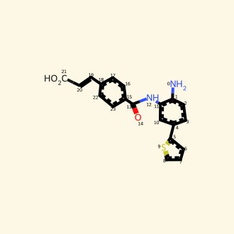 Nc1ccc(-c2cccs2)cc1NC(=O)c1ccc(/C=C/C(=O)O)cc1